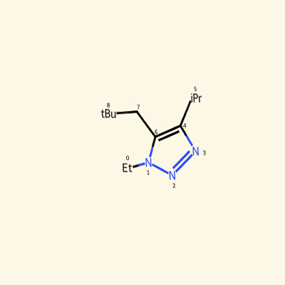 CCn1nnc(C(C)C)c1CC(C)(C)C